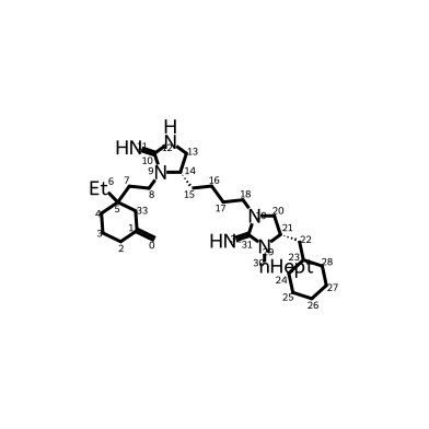 C=C1CCCC(CC)(CCN2C(=N)NC[C@@H]2CCCCN2C[C@H](CC3CCCCC3)N(CCCCCCC)C2=N)C1